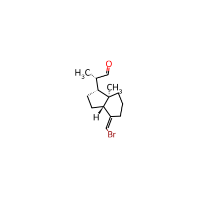 C[C@H](C=O)[C@H]1CC[C@H]2C(=CBr)CCC[C@]12C